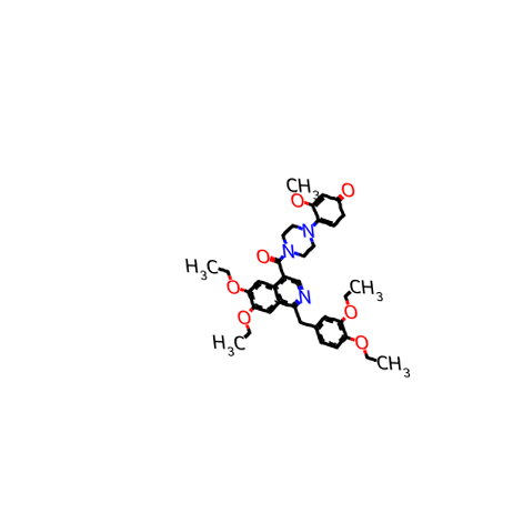 CCOc1ccc(Cc2ncc(C(=O)N3CCN(C4=CCC(=O)C=C4OC)CC3)c3cc(OCC)c(OCC)cc23)cc1OCC